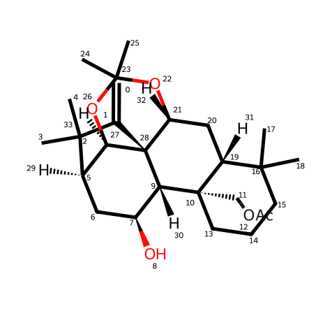 C=C1C(C)(C)[C@@H]2C[C@H](O)[C@H]3[C@]4(COC(C)=O)CCCC(C)(C)[C@H]4C[C@H]4OC(C)(C)O[C@H]2[C@]143